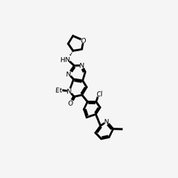 CCn1c(=O)c(-c2ccc(-c3cccc(C)n3)cc2Cl)cc2cnc(N[C@@H]3CCOC3)nc21